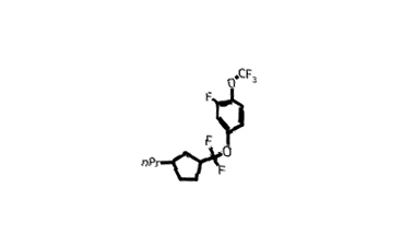 CCCC1CCC(C(F)(F)Oc2ccc(OC(F)(F)F)c(F)c2)C1